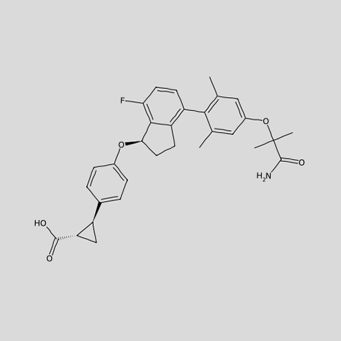 Cc1cc(OC(C)(C)C(N)=O)cc(C)c1-c1ccc(F)c2c1CC[C@H]2Oc1ccc([C@H]2C[C@@H]2C(=O)O)cc1